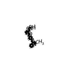 Cc1cc(COc2ccc(CC(=O)N3CCCC3CC(=O)NO)cc2)c2ccccc2n1